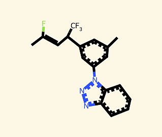 C/C(F)=C/C(c1cc(C)cc(-n2nnc3ccccc32)c1)C(F)(F)F